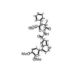 COc1ccc(-c2ccnc3cc(C(=O)NOC(=O)[C@H](C)N(C(=O)OC(C)(C)C)c4ccccc4)nn23)cc1OC